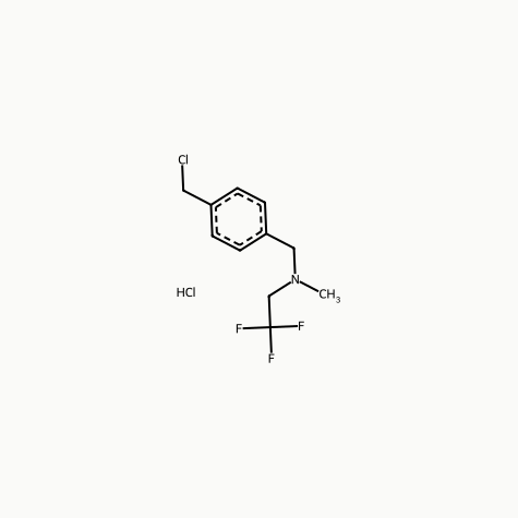 CN(Cc1ccc(CCl)cc1)CC(F)(F)F.Cl